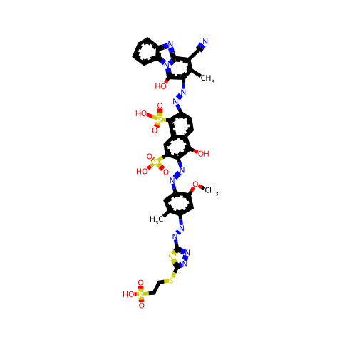 COc1cc(N=Nc2nnc(SCCS(=O)(=O)O)s2)c(C)cc1N=Nc1c(S(=O)(=O)O)cc2c(S(=O)(=O)O)c(N=Nc3c(C)c(C#N)c4nc5ccccc5n4c3O)ccc2c1O